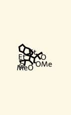 CCC1(C(COC)C2(C(COC)C3(CC)COC3)CC3CC2C2CCCC32)COC1